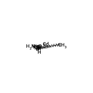 CCCCCCCCCCCCCCCCCC(=O)NS(=O)(=O)c1ccc(N)cc1.[Cd]